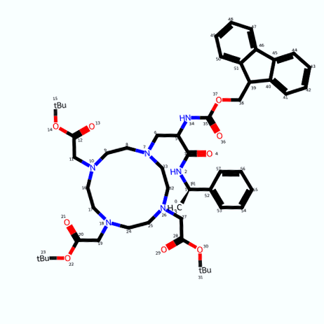 C[C@@H](NC(=O)C(CN1CCN(CC(=O)OC(C)(C)C)CCN(CC(=O)OC(C)(C)C)CCN(CC(=O)OC(C)(C)C)CC1)NC(=O)OCC1c2ccccc2-c2ccccc21)c1ccccc1